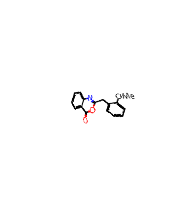 COc1ccccc1Cc1nc2ccccc2c(=O)o1